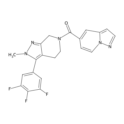 Cn1nc2c(c1-c1cc(F)c(F)c(F)c1)CCN(C(=O)c1ccn3nccc3c1)C2